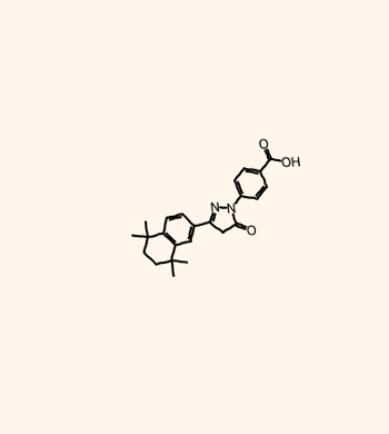 CC1(C)CCC(C)(C)c2cc(C3=NN(c4ccc(C(=O)O)cc4)C(=O)C3)ccc21